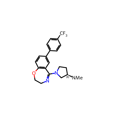 CN[C@@H]1CCN(C2=NCCOc3ccc(-c4ccc(C(F)(F)F)cc4)cc32)C1